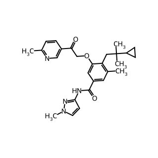 Cc1ccc(C(=O)COc2cc(C(=O)Nc3ccn(C)n3)cc(C)c2CC(C)(C)C2CC2)cn1